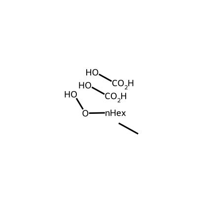 CC.CCCCCCOO.O=C(O)O.O=C(O)O